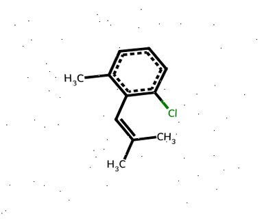 CC(C)=Cc1c(C)cccc1Cl